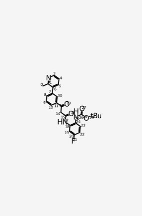 Cc1ncccc1-c1cccc(C(=O)CC(=O)Nc2cc(F)ccc2NC(=O)OC(C)(C)C)c1